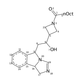 CCCCCCCCC(=O)N1CC(C(O)CC2c3ccccc3C3CN=CN32)C1